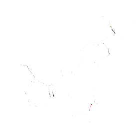 NC(=O)c1ccccc1CC(c1ccc(C(F)(F)F)nc1)N1CCOCC1